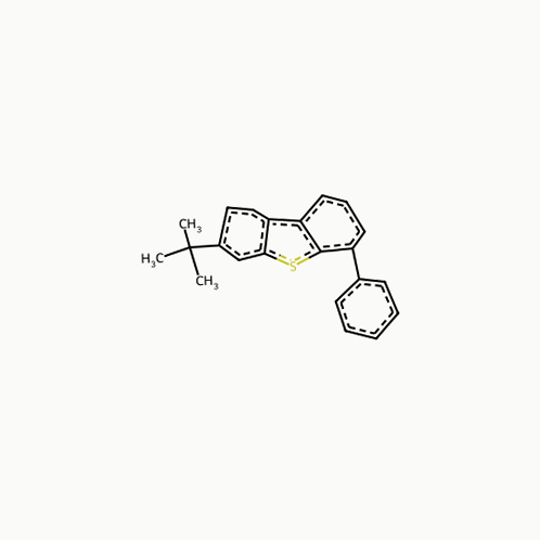 CC(C)(C)c1ccc2c(c1)sc1c(-c3ccccc3)cccc12